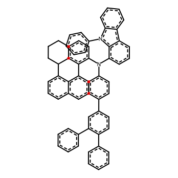 c1ccc(-c2ccc(-c3ccc(N(c4ccccc4-c4cccc5cccc(C6CCCCC6)c45)c4cccc5c6ccccc6n(-c6ccccc6)c45)cc3)cc2-c2ccccc2)cc1